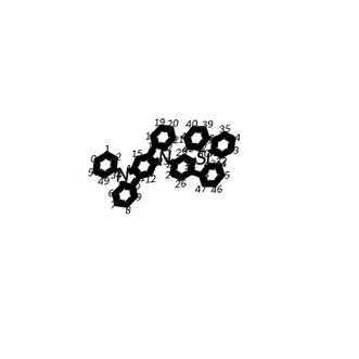 c1ccc(-n2c3ccccc3c3cc4c(cc32)c2ccccc2n4-c2ccc3c(c2)[Si](c2ccccc2)(c2ccccc2)c2ccccc2-3)cc1